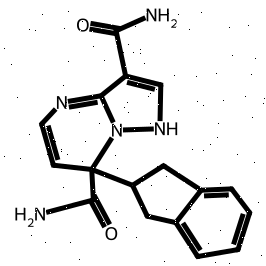 NC(=O)C1=CNN2C1=NC=CC2(C(N)=O)C1Cc2ccccc2C1